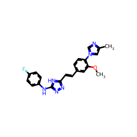 COc1cc(C=Cc2nnc(Nc3ccc(F)cc3)[nH]2)ccc1-n1cnc(C)c1